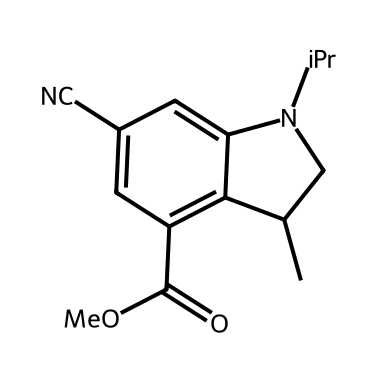 COC(=O)c1cc(C#N)cc2c1C(C)CN2C(C)C